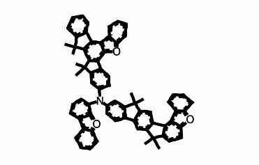 CC1(C)c2cc(N(c3ccc4c(c3)C(C)(C)c3c5c(c6c(oc7ccccc76)c3-4)-c3ccccc3C5(C)C)c3cccc4c3oc3ccccc34)ccc2-c2cc3c(cc21)-c1c(ccc2oc4ccccc4c12)C3(C)C